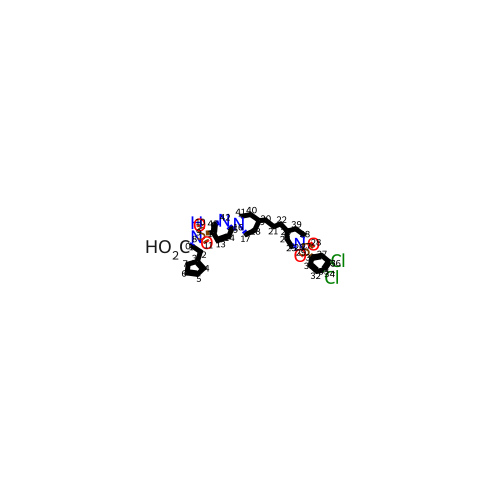 O=C(O)C(CC1=CC=CC1)NS(=O)(=O)c1ccc(N2CCC(CCCC3CCN(S(=O)(=O)c4ccc(Cl)c(Cl)c4)CC3)CC2)nc1